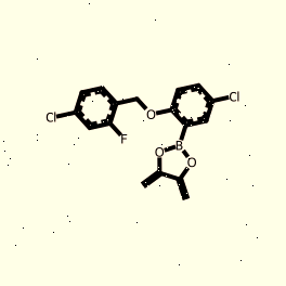 C=C1OB(c2cc(Cl)ccc2OCc2ccc(Cl)cc2F)OC1=C